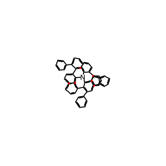 c1ccc(-c2ccccc2-c2ccccc2N(c2ccccc2-c2ccccc2)c2c3c(cc(-c4ccccc4)c2-c2ccccc2)-c2ccccc2C3)cc1